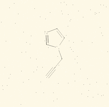 C#CCn1ccnc1